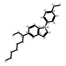 CCCCCCC(CC)c1ccc2c(ccn2-c2ccc(CC)cc2)c1